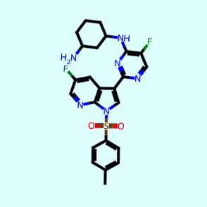 Cc1ccc(S(=O)(=O)n2cc(-c3ncc(F)c(NC4CCCC(N)C4)n3)c3cc(F)cnc32)cc1